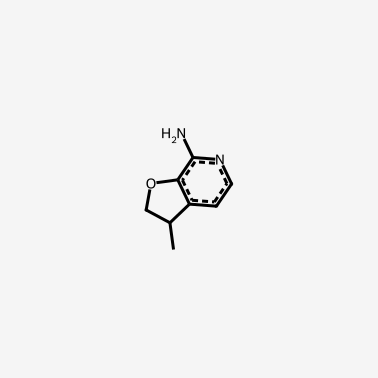 CC1COc2c1ccnc2N